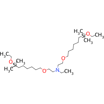 CCO[Si](C)(C)CCCCCCOCCN(CC)CCOCCCCCC[Si](C)(C)OCC